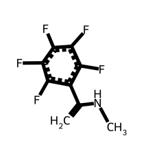 C=C(NC)c1c(F)c(F)c(F)c(F)c1F